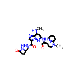 CNc1cc(N/C(C=O)=C/C=C\N(C)c2ccccn2)nn2c(C(=O)NCC3CCC(=O)N3)cnc12